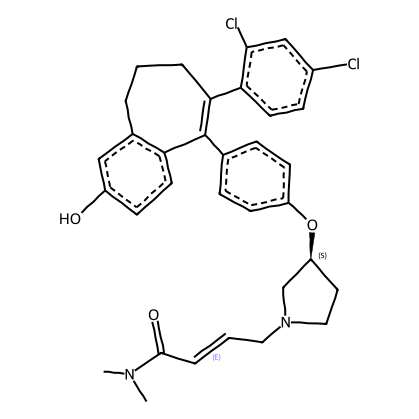 CN(C)C(=O)/C=C/CN1CC[C@H](Oc2ccc(C3=C(c4ccc(Cl)cc4Cl)CCCc4cc(O)ccc43)cc2)C1